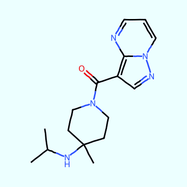 CC(C)NC1(C)CCN(C(=O)c2cnn3cccnc23)CC1